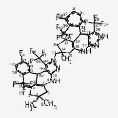 CC1(C)CC(=O)C2=C(C1)Nc1nn(CC3(C)CC(=O)C4=C(C3)Nc3n[nH]c(C(F)(F)F)c3C4c3cccc(F)c3C(F)(F)F)c(C(F)(F)F)c1C2c1cc(F)ccc1C(F)(F)F